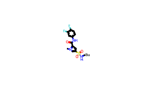 CCC(C)NS(=O)(=O)c1cc(C(=O)Nc2ccc(F)c(F)c2)n(C)c1